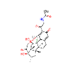 C[C@H]1C[C@H]2[C@@H]3CCC4=CC(=O)C(C(=O)CNC(=O)C(C)(C)C)=C5OCC(=O)[C@]1(O)[C@]2(C)C[C@@H](O)C3(Cl)[C@]45C